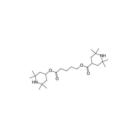 CC1(C)CC(OC(=O)CCCCOC(=O)C2CC(C)(C)NC(C)(C)C2)CC(C)(C)N1